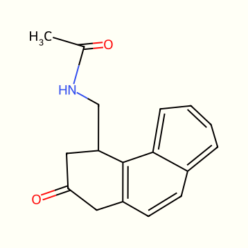 CC(=O)NCC1CC(=O)Cc2ccc3ccccc3c21